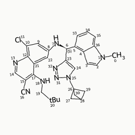 Cn1ccc2c([C@H](Nc3cc(Cl)c4ncc(C#N)c(NCC(C)(C)C)c4c3)c3cn(C45CC(C4)C5)nn3)cccc21